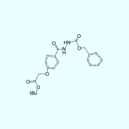 CC(C)(C)OC(=O)COc1ccc(C(=O)NNC(=O)OCc2ccccc2)cc1